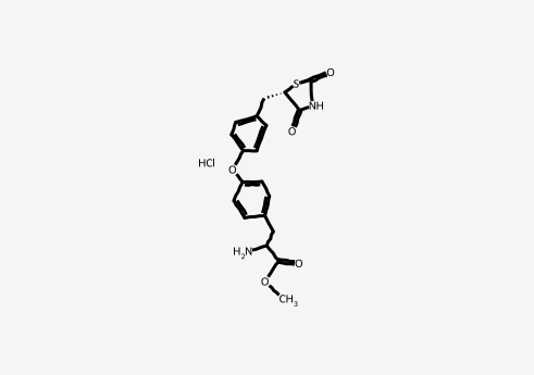 COC(=O)C(N)Cc1ccc(Oc2ccc(C[C@@H]3SC(=O)NC3=O)cc2)cc1.Cl